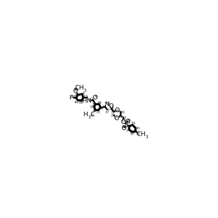 COc1cc(CNC(=O)c2cc(C)cc(C3=NO[C@H]([C@H]4CO[C@H](COS(=O)(=O)c5ccc(C)cc5)CO4)C3)c2)ccc1F